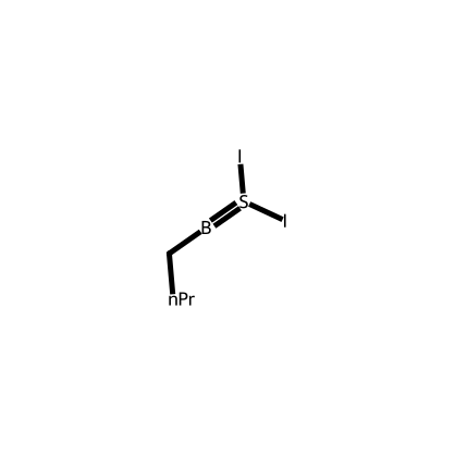 CCCCB=S(I)I